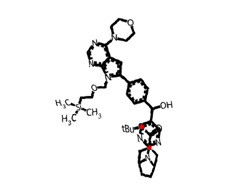 CC(C)(C)OC(=O)N1CC2CCC(C1)N2c1ncc(C(O)c2ccc(-c3cc4c(N5CCOCC5)ncnc4n3COCC[Si](C)(C)C)cc2)cn1